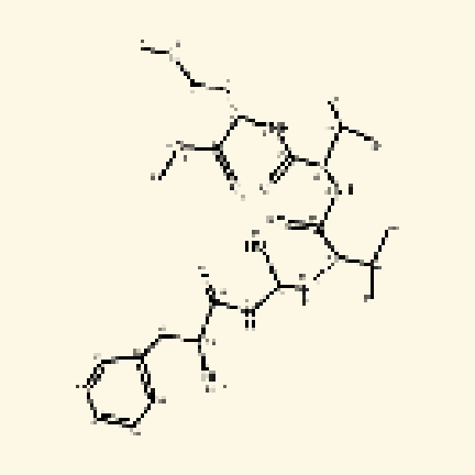 CNC(=O)[C@H](CCSC)NC(=O)[C@H](NC(=O)[C@@H](NC(O)NC(=O)[C@@H](N)Cc1ccccc1)C(C)C)C(C)C